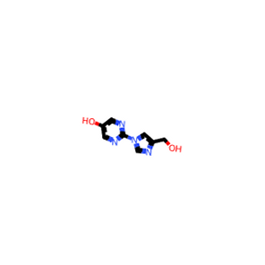 OCc1cn(-c2ncc(O)cn2)cn1